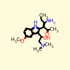 CC/C(N)=C(/C(C)=O)c1[nH]c2ccc(OC)cc2c1C(O)CN(C)C